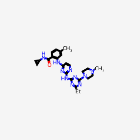 CCc1nc(Nc2nccc(Nc3cc(C)ccc3C(=O)NC3CC3)n2)nc(N2CCN(C)CC2)n1